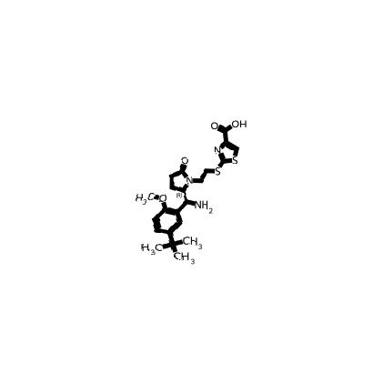 COc1ccc(C(C)(C)C)cc1C(N)[C@H]1CCC(=O)N1CCSc1nc(C(=O)O)cs1